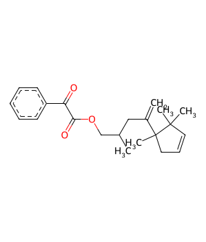 C=C(CC(C)COC(=O)C(=O)c1ccccc1)C1(C)CC=CC1(C)C